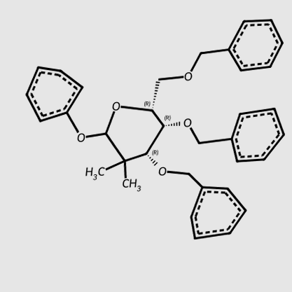 CC1(C)C(Oc2ccccc2)O[C@H](COCc2ccccc2)[C@H](OCc2ccccc2)[C@@H]1OCc1ccccc1